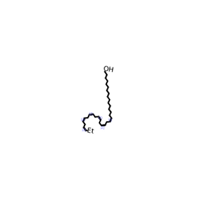 CC/C=C\C/C=C\C/C=C\C/C=C\C/C=C\C/C=C\CCCCCCCCCCCCCCCO